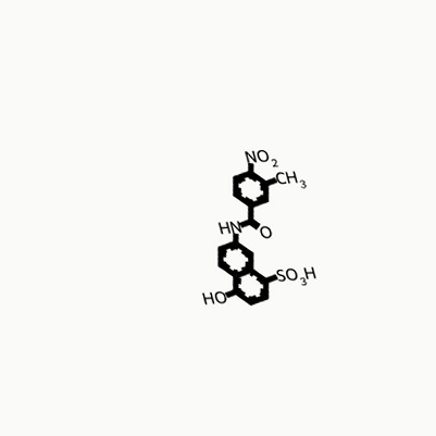 Cc1cc(C(=O)Nc2ccc3c(O)ccc(S(=O)(=O)O)c3c2)ccc1[N+](=O)[O-]